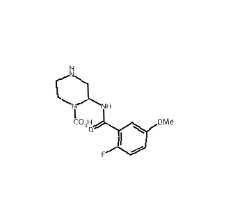 COc1ccc(F)c(C(=O)NC2CNCCN2C(=O)O)c1